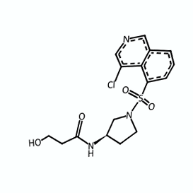 O=C(CCO)N[C@@H]1CCN(S(=O)(=O)c2cccc3cncc(Cl)c23)C1